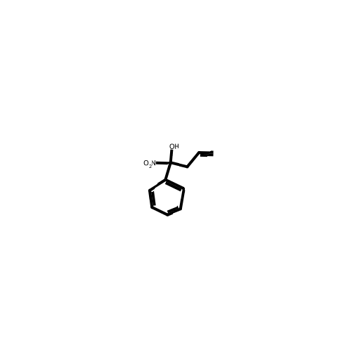 C=CCC(O)(c1ccccc1)[N+](=O)[O-]